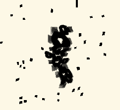 COc1ccc(CN2C(=O)c3ccc(N(C=O)CC(C)=O)c(=O)n3CC2C)cc1